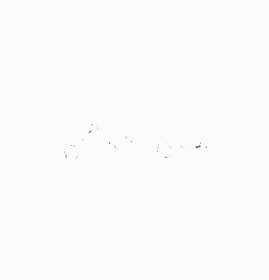 CC(C)C(C#N)(CCCN1CCN(CCOc2cccc(C=CC#N)c2)CC1)c1ccccc1